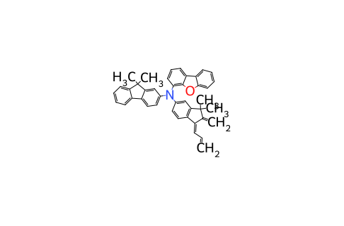 C=C/C=C1\C(=C)C(C)(C)c2cc(N(c3ccc4c(c3)C(C)(C)c3ccccc3-4)c3cccc4c3oc3ccccc34)ccc21